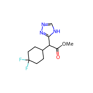 COC(=O)C(c1nnc[nH]1)C1CCC(F)(F)CC1